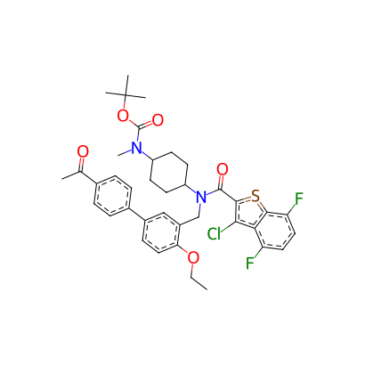 CCOc1ccc(-c2ccc(C(C)=O)cc2)cc1CN(C(=O)c1sc2c(F)ccc(F)c2c1Cl)C1CCC(N(C)C(=O)OC(C)(C)C)CC1